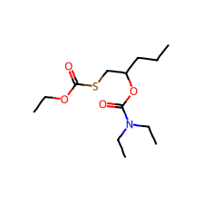 CCCC(CSC(=O)OCC)OC(=O)N(CC)CC